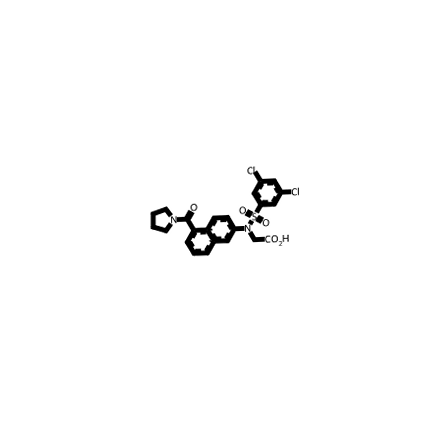 O=C(O)CN(c1ccc2c(C(=O)N3CCCC3)cccc2c1)S(=O)(=O)c1cc(Cl)cc(Cl)c1